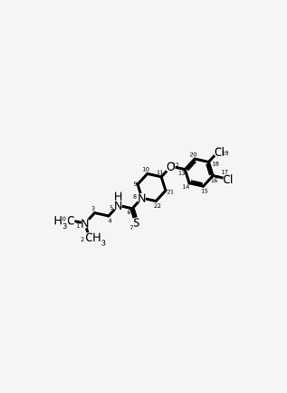 CN(C)CCNC(=S)N1CCC(Oc2ccc(Cl)c(Cl)c2)CC1